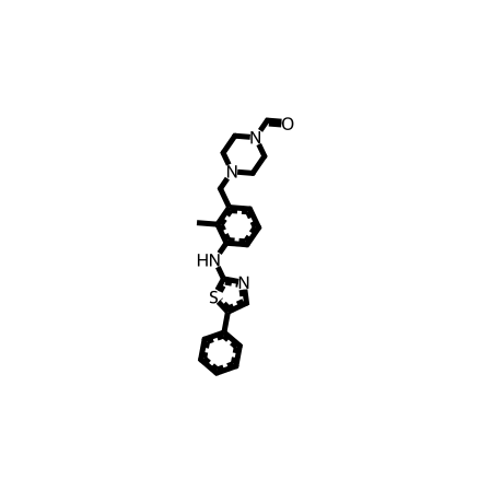 Cc1c(CN2CCN(C=O)CC2)cccc1Nc1ncc(-c2ccccc2)s1